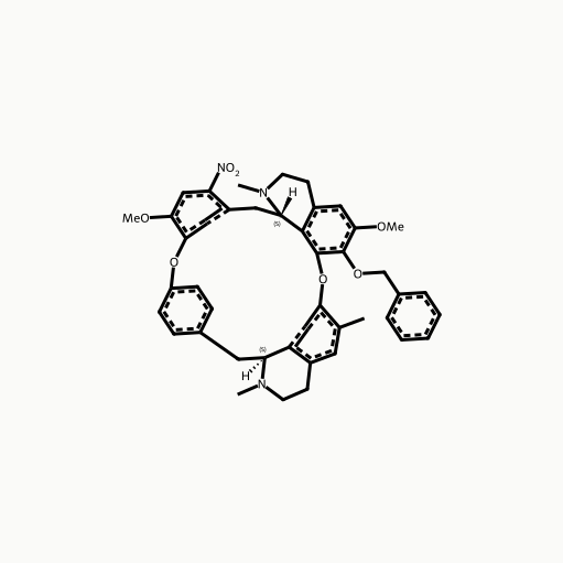 COc1cc([N+](=O)[O-])c2cc1Oc1ccc(cc1)C[C@H]1c3cc(c(C)cc3CCN1C)Oc1c(OCc3ccccc3)c(OC)cc3c1[C@H](C2)N(C)CC3